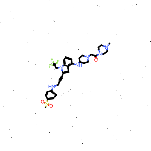 CN1CCN(C(=O)CN2CCC(Nc3cccc4c3cc(C#CCNc3ccc(S(C)(=O)=O)cc3)n4CC(F)(F)F)CC2)CC1